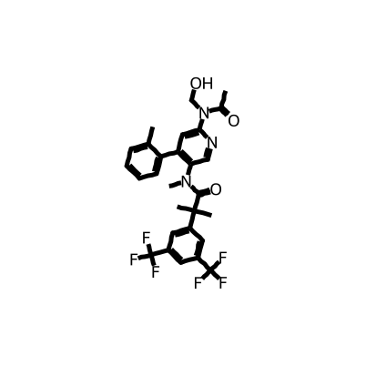 CC(=O)N(CO)c1cc(-c2ccccc2C)c(N(C)C(=O)C(C)(C)c2cc(C(F)(F)F)cc(C(F)(F)F)c2)cn1